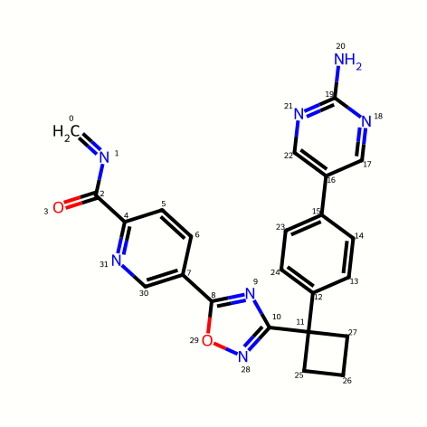 C=NC(=O)c1ccc(-c2nc(C3(c4ccc(-c5cnc(N)nc5)cc4)CCC3)no2)cn1